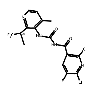 Cc1ccnc([C@@H](C)C(F)(F)F)c1NC(=O)NC(=O)c1cc(F)c(Cl)nc1Cl